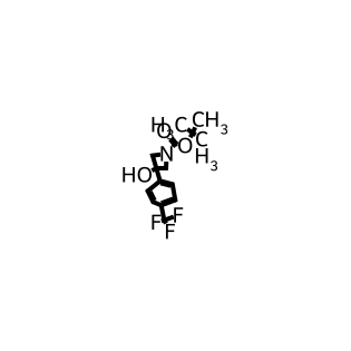 CC(C)(C)OC(=O)N1CC(O)(c2ccc(C(F)(F)F)cc2)C1